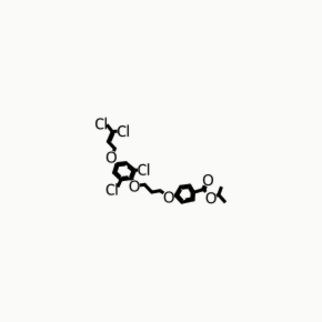 CC(C)OC(=O)c1ccc(OCCCOc2c(Cl)cc(OCC=C(Cl)Cl)cc2Cl)cc1